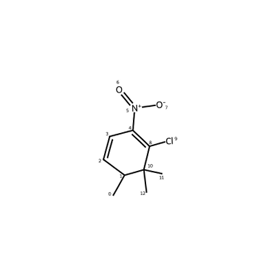 CC1C=CC([N+](=O)[O-])=C(Cl)C1(C)C